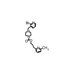 Cc1cccc(CCCOC(=O)N2CCN(Cc3cccnc3Br)CC2)n1